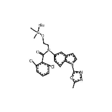 Cc1nnc(-n2ccc3cc(N(CCO[Si](C)(C)C(C)(C)C)C(=O)c4c(Cl)cccc4Cl)ccc32)o1